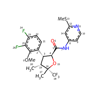 COc1c([C@@H]2[C@@H](C(=O)Nc3ccnc(SC)c3)O[C@](C)(C(F)(F)F)[C@@H]2C)ccc(F)c1F